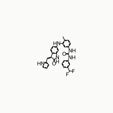 Cc1ccc(NC(=O)Nc2cccc(C(F)F)c2)cc1Nc1ccc2c(c1)NC(=O)/C2=C\c1ccc[nH]1